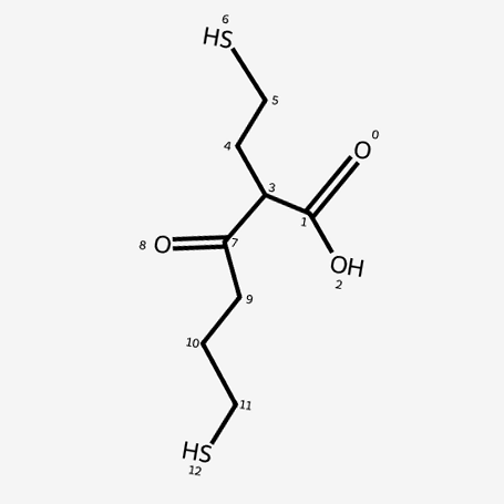 O=C(O)C(CCS)C(=O)CCCS